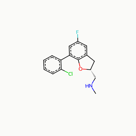 CNC[C@H]1Cc2cc(F)cc(-c3ccccc3Cl)c2O1